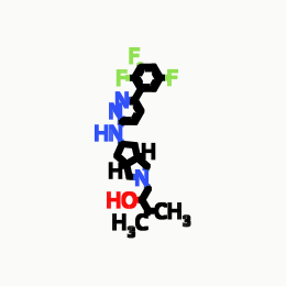 CC(C)C(O)CN1C[C@H]2CC(Nc3ccc(-c4cc(F)cc(F)c4F)nn3)C[C@H]2C1